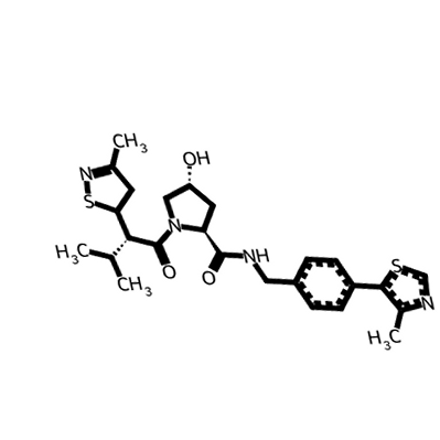 CC1=NSC([C@H](C(=O)N2C[C@H](O)C[C@H]2C(=O)NCc2ccc(-c3scnc3C)cc2)C(C)C)C1